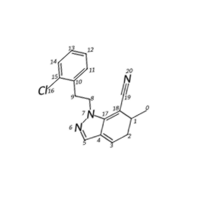 CC1CC=c2cnn(CCc3ccccc3Cl)c2=C1C#N